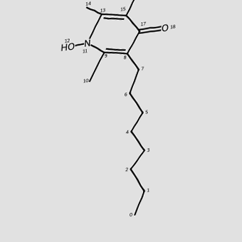 CCCCCCCCc1c(C)n(O)c(C)c(C)c1=O